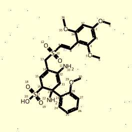 COc1cc(OC)c(/C=C/S(=O)(=O)CC2=CC(S(=O)(=O)O)C(N)(c3ccccc3OC)C=C2N)c(OC)c1